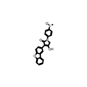 C[S+]([O-])c1ccc(N2CC(O)=C(c3ccc4oc5ccccc5c4c3)C2=O)cc1